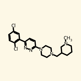 CN1CCCC(CN2CCN(c3ccc(-c4cc(Cl)ccc4Cl)nn3)CC2)C1